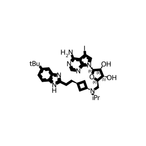 CC(C)N(C[C@H]1O[C@@H](n2cc(I)c3c(N)ncnc32)[C@H](O)[C@@H]1O)[C@H]1C[C@H](CCc2nc3cc(C(C)(C)C)ccc3[nH]2)C1